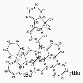 CC(C)(C)c1ccc(-c2cc(C(C)(C)C)ccc2-c2ccccc2N(c2ccc3c(c2)C(C)(C)c2ccccc2-3)c2ccc3c(c2)C2(CCCCC2)c2ccccc2-3)cc1